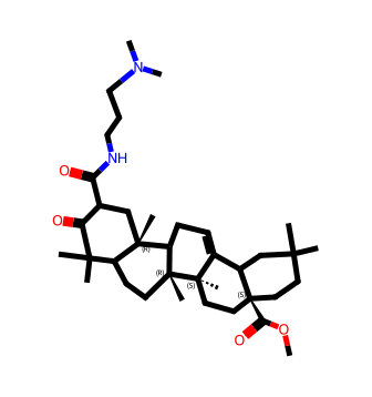 COC(=O)[C@]12CCC(C)(C)CC1C1=CCC3[C@@]4(C)CC(C(=O)NCCCN(C)C)C(=O)C(C)(C)C4CC[C@@]3(C)[C@]1(C)CC2